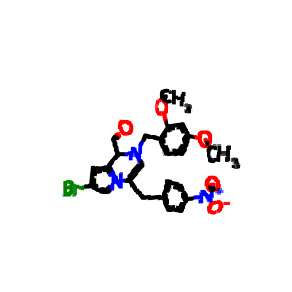 COc1ccc(CN2C=C(Cc3ccc([N+](=O)[O-])cc3)n3cc(Br)cc3C2C=O)c(OC)c1